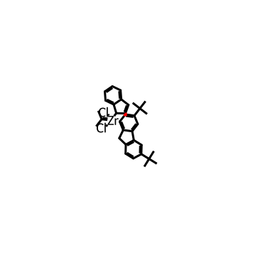 C[C](C)=[Zr]([Cl])([Cl])([c]1cc(C(C)(C)C)cc2c1Cc1ccc(C(C)(C)C)cc1-2)[CH]1C=Cc2ccccc21